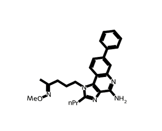 CCCc1nc2c(N)nc3cc(-c4ccccc4)ccc3c2n1CCCC(C)=NOC